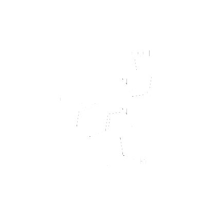 CC(C)C(=O)c1cn(-c2nc(C(=O)O)cs2)c2cc(Cl)ccc12